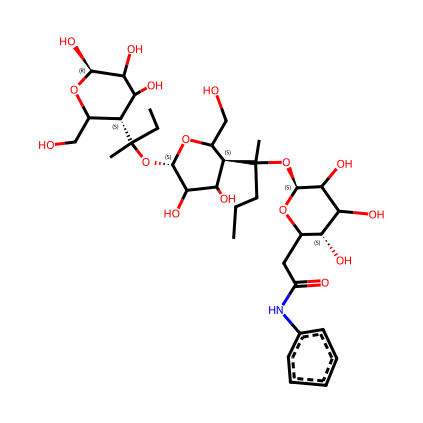 CCCC(C)(O[C@@H]1OC(CC(=O)Nc2ccccc2)[C@@H](O)C(O)C1O)[C@@H]1C(CO)O[C@@H](OC(C)(CC)[C@@H]2C(CO)O[C@@H](O)C(O)C2O)C(O)C1O